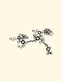 C=C1CC(C(=O)c2cc(OC)c(OCCCCCOc3cc(NC(=O)OCCSSc4ccc([N+](=O)[O-])cn4)c(C(=O)C4CC(=C)C[C@H]4CO[Si](C)(C)C(C)(C)C)cc3OC)cc2NB(C)O)[C@H](CC)C1